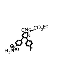 CCOC(=O)CSc1nc(-c2ccc(F)cc2)c(-c2ccc(S(N)(=O)=O)cc2)cc1C#N